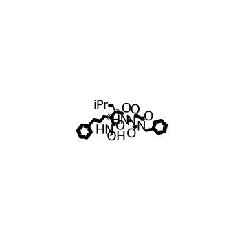 CC(C)C[C@@H](C(=O)NN1C(=O)C(=O)N(Cc2ccccc2)C1=O)[C@H](CC=Cc1ccccc1)C(=O)NO